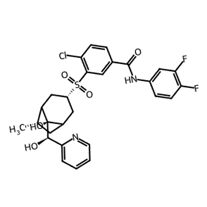 C[C@H]1CC2C[C@@H](S(=O)(=O)c3cc(C(=O)Nc4ccc(F)c(F)c4)ccc3Cl)CC1[C@@]2(O)[C@H](O)c1ccccn1